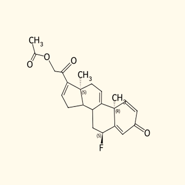 CC(=O)OCC(=O)C1=CCC2C3C[C@H](F)C4=CC(=O)C=C[C@]4(C)C3=CC[C@]12C